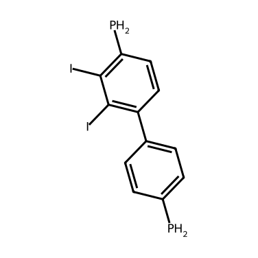 Pc1ccc(-c2ccc(P)c(I)c2I)cc1